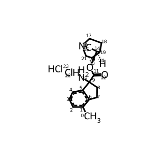 Cc1cccc2c1CCC2(N)C(=O)O[C@H]1CN2CCC1CC2.Cl.Cl